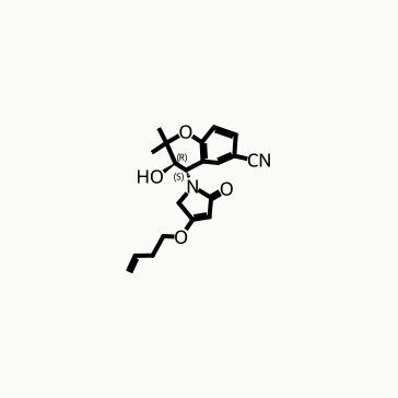 C=CCCOC1=CC(=O)N([C@H]2c3cc(C#N)ccc3OC(C)(C)[C@@H]2O)C1